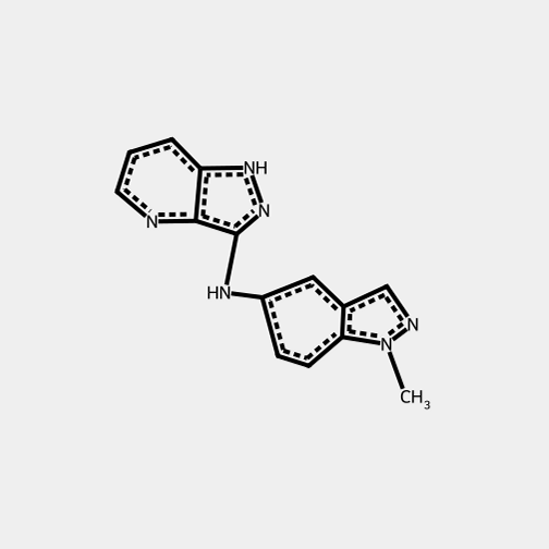 Cn1ncc2cc(Nc3n[nH]c4cccnc34)ccc21